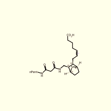 CCCCCNC(=O)CC(=O)NC[C@H]1[C@@H](C/C=C\CCCC(=O)O)[C@H]2CC[C@@H]1S2